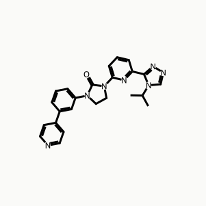 CC(C)n1cnnc1-c1cccc(N2CCN(c3cccc(-c4ccncc4)c3)C2=O)n1